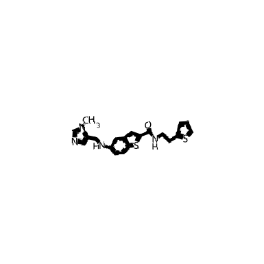 Cn1cncc1CNc1ccc2sc(C(=O)NCCc3cccs3)cc2c1